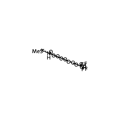 CSC(C)(C)CCCCNC(=O)CCOCCOCCOCCOCCOCCOCCOCCC(=O)Oc1c(F)c(F)cc(F)c1F